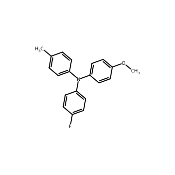 COc1ccc(N(c2ccc(C)cc2)c2ccc(F)cc2)cc1